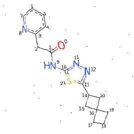 O=C(Cc1ccccn1)Nc1nnc(C2CC3(CCC3)C2)s1